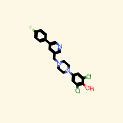 Oc1c(Cl)cc(N2CCN(Cc3cncc(-c4ccc(F)cc4)c3)CC2)cc1Cl